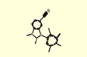 Cc1cc(N2c3cc(C#N)ccc3N(C)[C@@H]2C)c(C)c(C)c1C